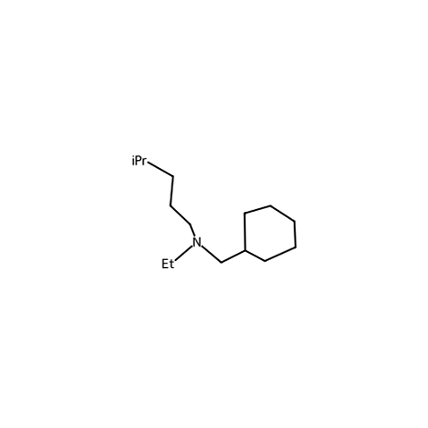 CCN(CCCC(C)C)CC1CCCCC1